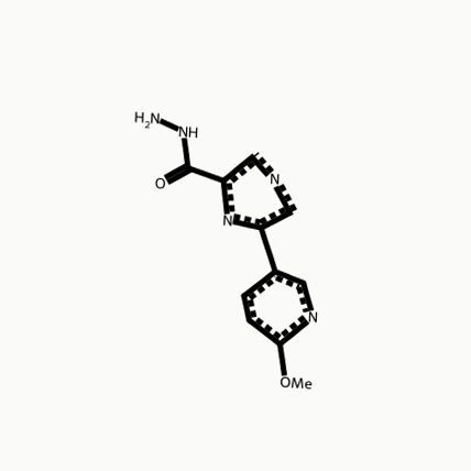 COc1ccc(-c2cncc(C(=O)NN)n2)cn1